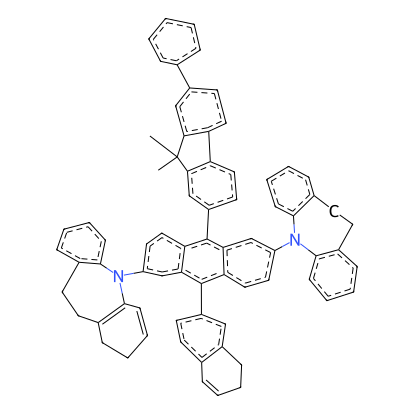 CC1(C)c2cc(-c3ccccc3)ccc2-c2ccc(-c3c4ccc(N5C6=C(CCC=C6)CCc6ccccc65)cc4c(-c4ccc5c(c4)CCC=C5)c4ccc(N5c6ccccc6CCc6ccccc65)cc34)cc21